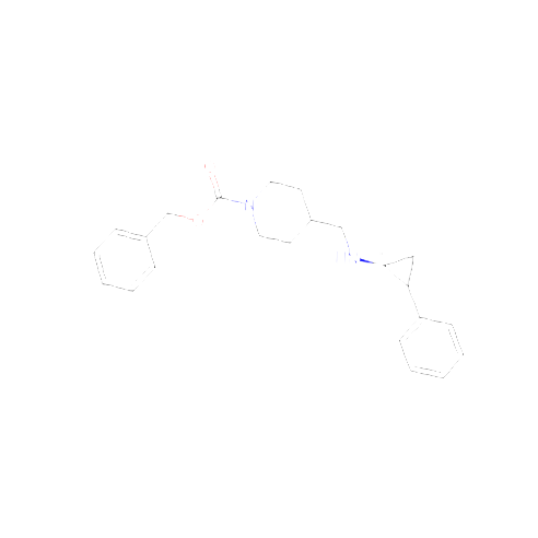 O=C(OCc1ccccc1)N1CCC(CN[C@H]2CC2c2ccccc2)CC1